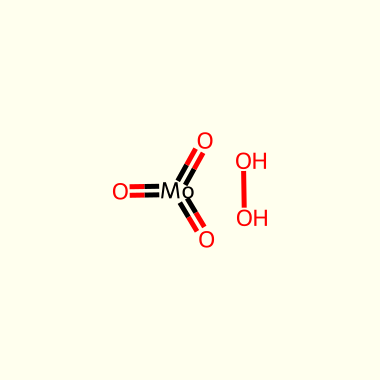 OO.[O]=[Mo](=[O])=[O]